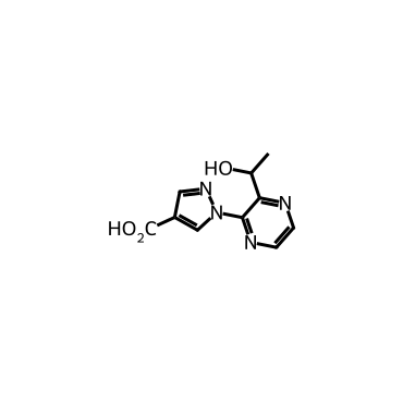 CC(O)c1nccnc1-n1cc(C(=O)O)cn1